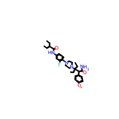 CCC(CC)C(=O)Nc1ccc(N2CCN(C(CC)(CC)C(C(N)=O)c3ccc(OC)cc3)CC2)c(F)c1